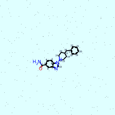 NC(=O)c1ccc2c(c1)ncn2N1CCC(Cc2ccccc2)CC1